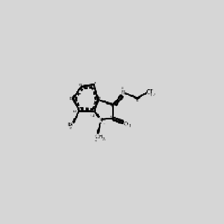 CN1C(=O)C(=NCC(F)(F)F)c2cccc(Br)c21